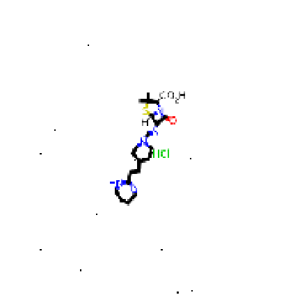 CC1(C)S[C@@H]2[C@H](N=CN3CCC(CCC4=NCCCCN4)CC3)C(=O)N2[C@H]1C(=O)O.Cl